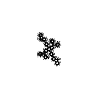 CC1(C)c2ccccc2-c2ccc(-c3ccc(-c4c5ccc(N(c6cccnc6)c6cccnc6)cc5c(-c5ccc(-c6ccc7c(c6)C(C)(C)c6ccccc6-7)cc5)c5ccc(N(c6cccnc6)c6cccnc6)cc45)cc3)cc21